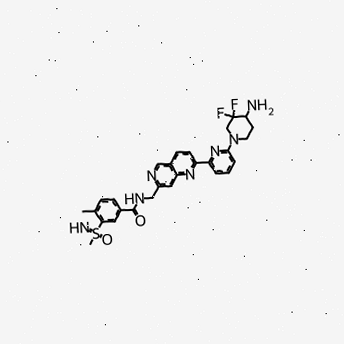 Cc1ccc(C(=O)NCc2cc3nc(-c4cccc(N5CCC(N)C(F)(F)C5)n4)ccc3cn2)cc1S(C)(=N)=O